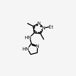 CCn1nc(C)c(NC2=NCCN2)c1C